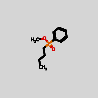 CCCCP(=O)(OC)c1ccccc1